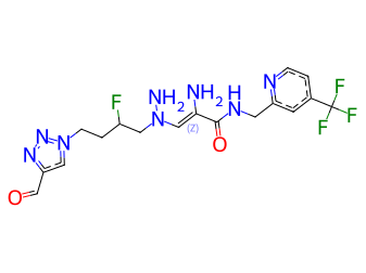 N/C(=C\N(N)CC(F)CCn1cc(C=O)nn1)C(=O)NCc1cc(C(F)(F)F)ccn1